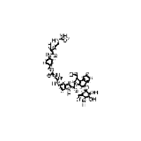 NC(=O)NCCCC(N)C(=O)Nc1ccc(COC(=O)NCC(=O)Nc2ccc3[nH]c(C(=O)N4CC(CCl)c5c4cc(OC4OC(CO)C(O)C(O)C4O)c4ccccc54)cc3c2)cc1